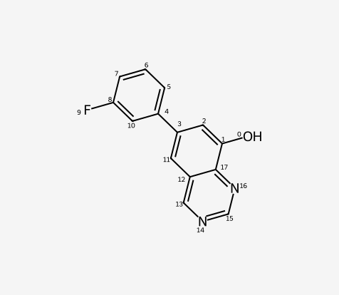 Oc1cc(-c2cccc(F)c2)cc2cncnc12